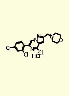 Cl.Clc1ccc(-c2cn3nc(CN4CCOCC4)cc3c(Cl)n2)c(Cl)c1